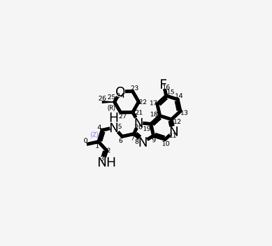 C/C(C=N)=C/NCc1nc2cnc3ccc(F)cc3c2n1C1CCO[C@H](C)C1